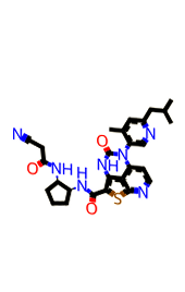 Cc1cc(CC(C)C)ncc1N1C(=O)Nc2c(C(=O)N[C@@H]3CCC[C@@H]3NC(=O)CC#N)sc3nccc1c23